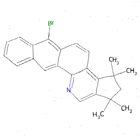 CC1(C)CC(C)(C)c2c1cnc1c2ccc2c(Br)c3ccccc3cc21